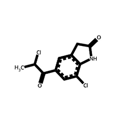 CC(Cl)C(=O)c1cc(Cl)c2c(c1)CC(=O)N2